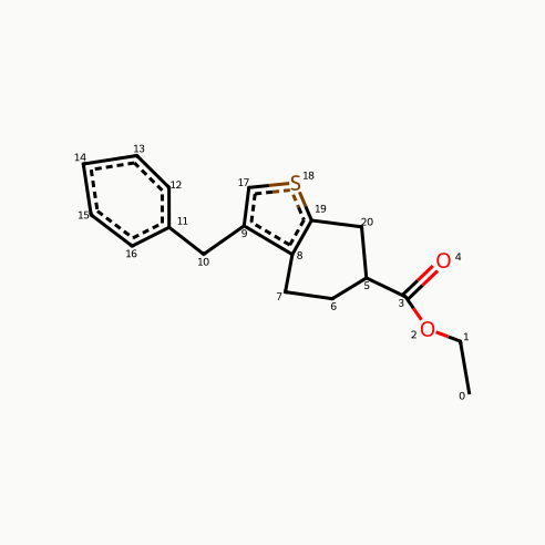 CCOC(=O)C1CCc2c(Cc3ccccc3)csc2C1